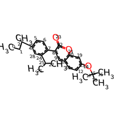 CCC(C)c1ccc(-c2cc3ccc(OC(C)(C)C)cc3oc2=O)c(C(C)C)c1